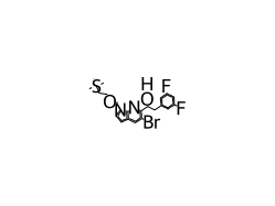 CS(C)(C)CCOCn1ccc2cc(Br)c(C(O)Cc3cc(F)cc(F)c3)nc21